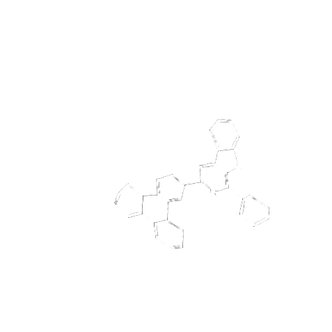 c1ccc(-c2nc(-c3ccc4c5ccccc5c5ccccc5c4c3)cc3c2sc2ccccc23)cc1